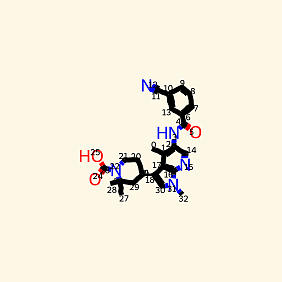 Cc1c(NC(=O)c2cccc(C#N)c2)cnc2c1c([C@@H]1CCN(C(=O)O)C(C)(C)C1)cn2C